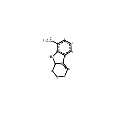 O=C(O)c1cccc2c1NC1CCCC=C21